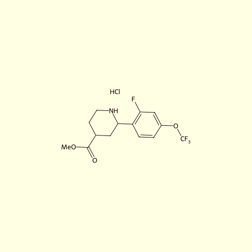 COC(=O)C1CCNC(c2ccc(OC(F)(F)F)cc2F)C1.Cl